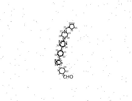 O=C[C@H]1CC[C@H](c2nnc(-c3ccc(-c4cnc(N5CCN(CC6CCCC6)CC5)nc4)cc3)s2)CC1